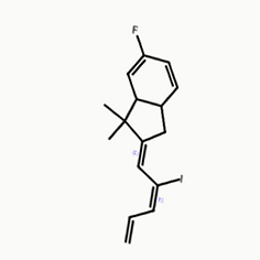 C=C/C=C(I)\C=C1/CC2C=CC(F)=CC2C1(C)C